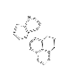 C1=Cc2cccc3cccc(c23)C1.c1ccc2ncccc2c1